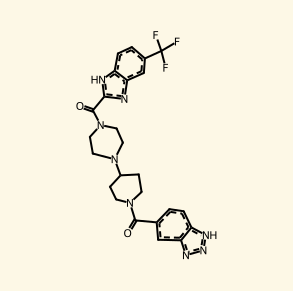 O=C(c1ccc2[nH]nnc2c1)N1CCC(N2CCN(C(=O)c3nc4cc(C(F)(F)F)ccc4[nH]3)CC2)CC1